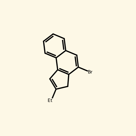 CCC1=Cc2c(c(Br)cc3ccccc23)C1